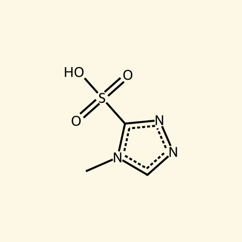 Cn1cnnc1S(=O)(=O)O